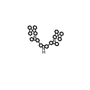 c1ccc2c(c1)-c1ccccc1C21c2ccccc2-c2ccc(-n3c4ccccc4c4cc(-c5ccc6[nH]c7ccc(-c8ccc9c(c8)c8ccccc8n9-c8ccc9c(c8)C8(c%10ccccc%10-c%10ccccc%108)c8ccccc8-9)cc7c6c5)ccc43)cc21